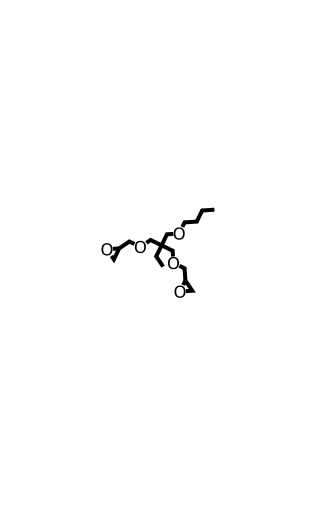 CCCCOCC(CC)(COCC1CO1)COCC1CO1